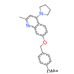 COc1ccc(COc2ccc3c(N4CCCC4)cc(C)nc3c2)cc1